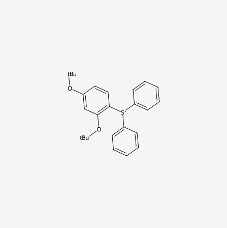 CC(C)(C)Oc1ccc([S+](c2ccccc2)c2ccccc2)c(OC(C)(C)C)c1